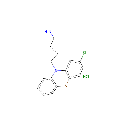 Cl.NCCCCN1c2ccccc2Sc2ccc(Cl)cc21